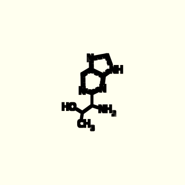 CC(O)C(N)c1ncc2nc[nH]c2n1